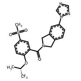 C[C@H](Oc1ccc(S(C)(=O)=O)cc1C(=O)N1Cc2ccc(-n3cncn3)cc2C1)C(F)(F)F